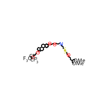 COCC(CCCOCCSSCCCN(C)CCCOCCOc1ccc2c(c1)CCC1C2CCC2(C)C(OCCCOC(C(F)(F)F)(C(F)(F)F)C(F)(F)F)CCC12)COC